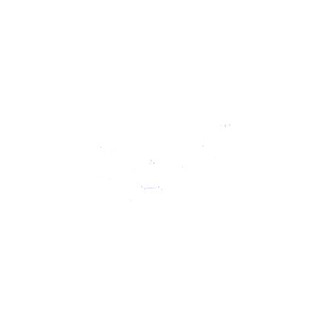 CCCCOc1cccc(-c2nc3c4ccccc4ccn3n2)c1